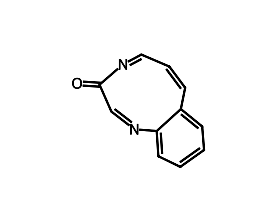 O=C1C=Nc2ccccc2C=CC=N1